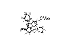 COCCN1C[C@H](C(=O)N2CCCCC2)C(c2cccc(F)c2C)[C@H](C(=O)N2CCCCC2)C1